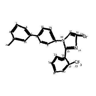 Cc1cccc(-c2ccc(-n3cc(Br)nc3-c3ccccc3C(F)(F)F)cc2)c1